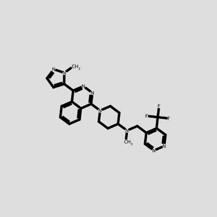 CN(Cc1cnncc1C(F)(F)F)C1CCN(c2nnc(-c3ccnn3C)c3ccccc23)CC1